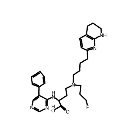 O=C(O)C(CCN(CCCF)CCCCc1ccc2c(n1)NCCC2)Nc1ncncc1-c1ccccc1